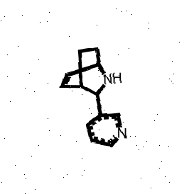 C1=CC23CCC2NC(c2cccnc2)C13